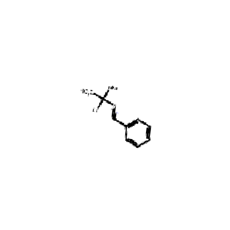 CCCCC(CC)(/N=C/c1ccccc1)C(=O)O